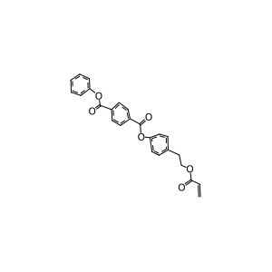 C=CC(=O)OCCc1ccc(OC(=O)c2ccc(C(=O)Oc3ccccc3)cc2)cc1